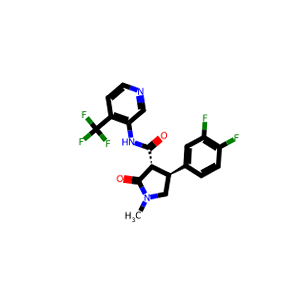 CN1C[C@H](c2ccc(F)c(F)c2)[C@@H](C(=O)Nc2cnccc2C(F)(F)F)C1=O